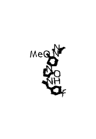 C=C(Cc1ccc(F)cc1)NC1CCN(c2ccc(-n3cnc(C)c3)c(OC)c2)C1=O